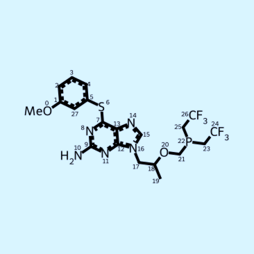 COc1cccc(Sc2nc(N)nc3c2ncn3CC(C)OCP(CC(F)(F)F)CC(F)(F)F)c1